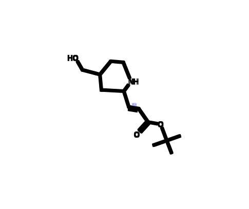 CC(C)(C)OC(=O)/C=C/C1CC(CO)CCN1